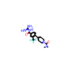 CN(C)C(=O)N1CCC(c2ccc(C(=O)NC(=N)N)cc2C(F)(F)F)CC1